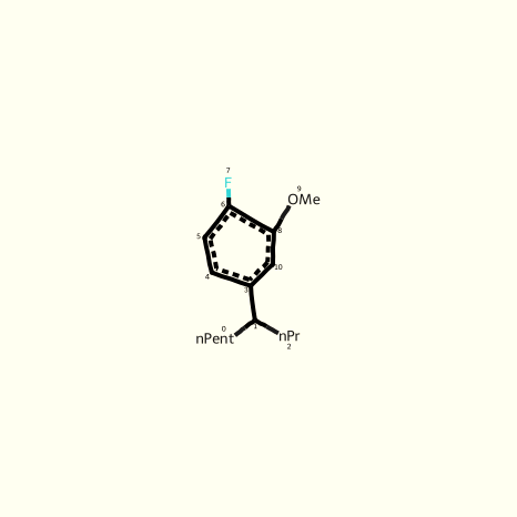 CCCCCC(CCC)c1ccc(F)c(OC)c1